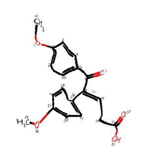 COc1ccc(C(=O)/C(=C/CC(=O)O)c2ccc(OC)cc2)cc1